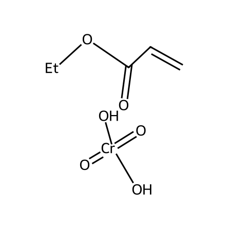 C=CC(=O)OCC.[O]=[Cr](=[O])([OH])[OH]